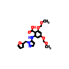 COCOc1cc(Nc2ccnn2Cc2ccco2)c(C(=O)O)c(OCOC)c1